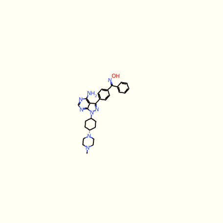 CN1CCN([C@H]2CC[C@H](n3nc(-c4ccc(C(=NO)c5ccccc5)cc4)c4c(N)ncnc43)CC2)CC1